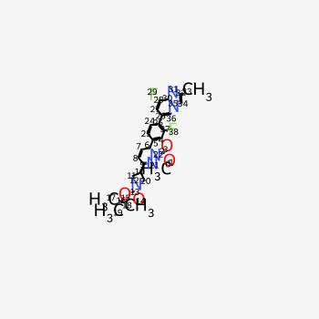 COCOc1c(-c2ccc(C3CN(C(=O)OC(C)(C)C)C3)nn2)ccc(-c2cc(F)c3nc(C)cn3c2)c1F